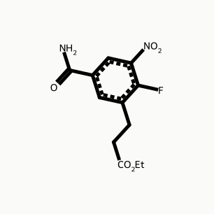 CCOC(=O)CCc1cc(C(N)=O)cc([N+](=O)[O-])c1F